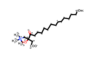 CCCCCCCCCCCCCCCCCCCCCCCC(=O)C(O)(CC(=O)[O-])C[N+](C)(C)C